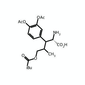 CCC(C)C(=O)OCC(C)C(c1ccc(OC(C)=O)c(OC(C)=O)c1)[C@H](N)C(=O)O